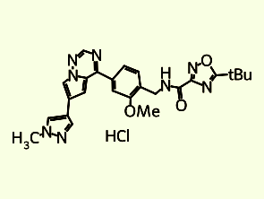 COc1cc(-c2ncnn3cc(-c4cnn(C)c4)cc23)ccc1CNC(=O)c1noc(C(C)(C)C)n1.Cl